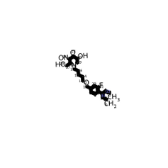 C=C/C=C(\C=C/C)c1ccc(COCCCCCN2C[C@H](O)C(=O)C(N=O)C2CO)cc1F